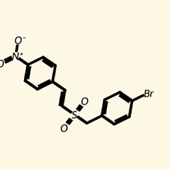 O=[N+]([O-])c1ccc(C=CS(=O)(=O)Cc2ccc(Br)cc2)cc1